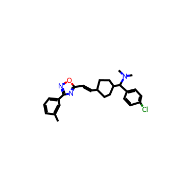 Cc1cccc(-c2noc(C=CC3CCC(C(c4ccc(Cl)cc4)N(C)C)CC3)n2)c1